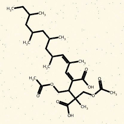 CCC(C)CC(C)CC(C)CC(C)C=C(C)C=C(C(=O)O)C(COC(C)=O)C(C)(COC(C)=O)C(=O)O